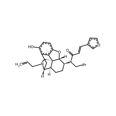 C=CCN1CC[C@@]23c4c5ccc(O)c4C[C@@H]1[C@@H]2CC[C@H](N(CC(C)C)C(=O)C=Cc1ccoc1)[C@H]3O5